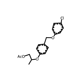 CC(=O)OCC(C)Oc1ccc(COc2ccc(Cl)cc2)cc1